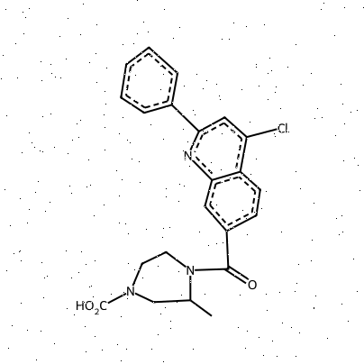 CC1CN(C(=O)O)CCN1C(=O)c1ccc2c(Cl)cc(-c3ccccc3)nc2c1